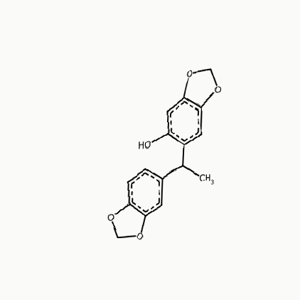 CC(c1ccc2c(c1)OCO2)c1cc2c(cc1O)OCO2